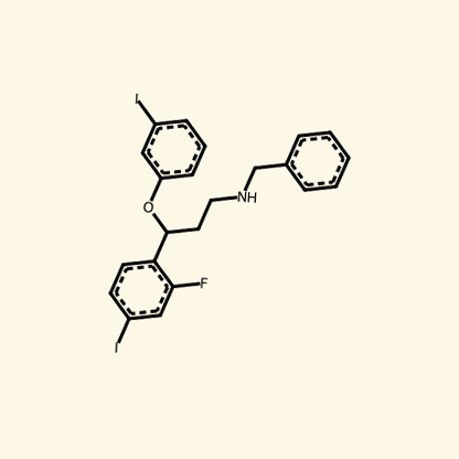 Fc1cc(I)ccc1C(CCNCc1ccccc1)Oc1cccc(I)c1